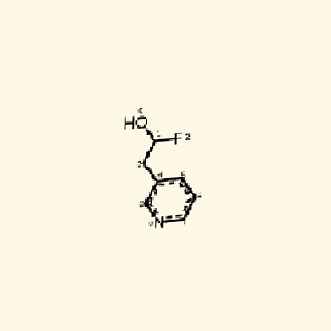 OC(F)[CH]c1cccnc1